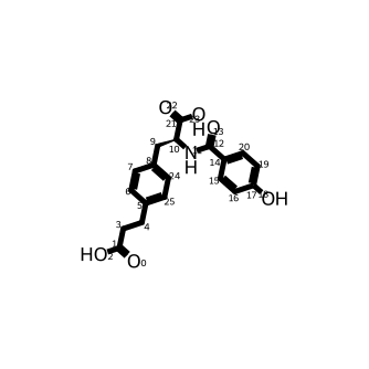 O=C(O)CCc1ccc(C[C@H](NC(=O)c2ccc(O)cc2)C(=O)O)cc1